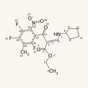 CCOC(=O)/C(=C/NC1CCCC1)C(=O)c1c(F)c(C)c(F)c(F)c1[N+](=O)[O-]